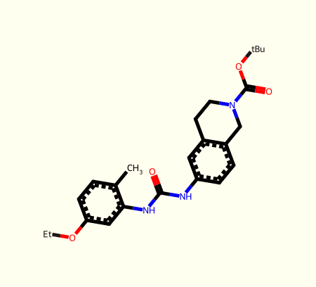 CCOc1ccc(C)c(NC(=O)Nc2ccc3c(c2)CCN(C(=O)OC(C)(C)C)C3)c1